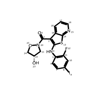 O=C(c1c(Nc2ccc(I)cc2F)sc2ncccc12)N1C[C@H](O)CO1